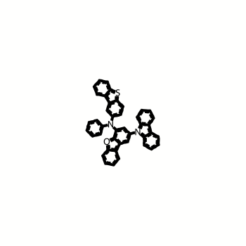 c1ccc(N(c2ccc3sc4ccccc4c3c2)c2cc(-n3c4ccccc4c4ccccc43)cc3c2oc2ccccc23)cc1